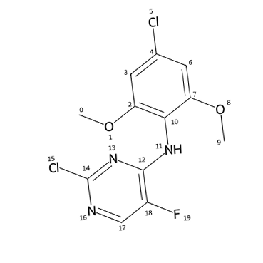 COc1cc(Cl)cc(OC)c1Nc1nc(Cl)ncc1F